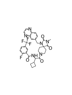 CN1C(=O)N(Cc2ccc3nccnc3c2)C2(CCN(C(=O)[C@H](NC(=O)c3cc(C(F)(F)F)ccc3F)C3CCC3)CC2)C1=O